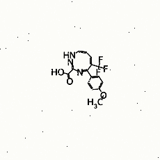 COc1ccc(-c2nc(C(=O)O)n[nH]cccc2C(F)(F)F)cc1